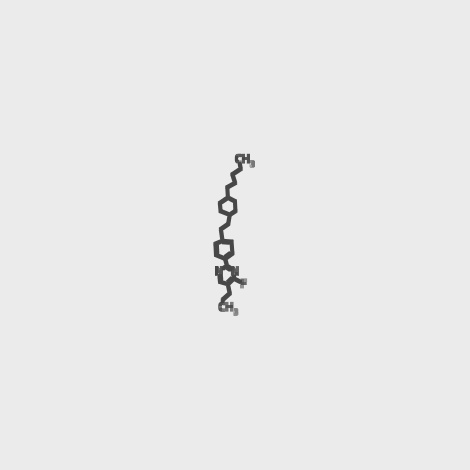 CCCCCC1CCC(CCc2ccc(-c3ncc(CCC)c(F)n3)cc2)CC1